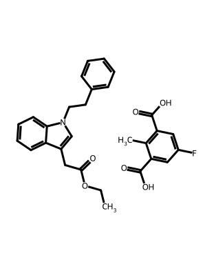 CCOC(=O)Cc1cn(CCc2ccccc2)c2ccccc12.Cc1c(C(=O)O)cc(F)cc1C(=O)O